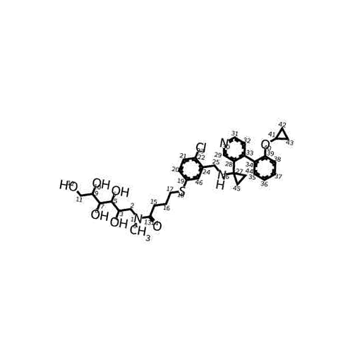 CN(CC(O)C(O)C(O)C(O)CO)C(=O)CCCSc1ccc(Cl)c(CNC2(c3cnccc3-c3ccccc3OC3CC3)CC2)c1